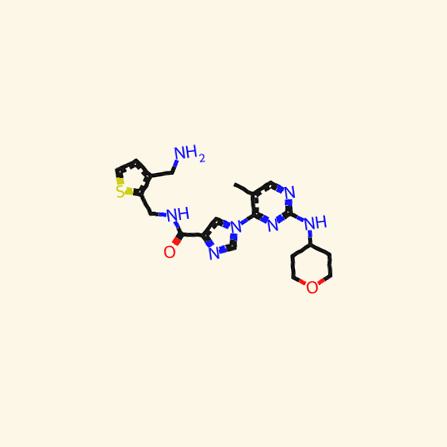 Cc1cnc(NC2CCOCC2)nc1-n1cnc(C(=O)NCc2sccc2CN)c1